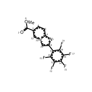 COC(=O)c1ccc2nc(-c3c(F)c(F)c(F)c(F)c3F)cn2c1